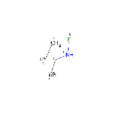 CC(C)C.CCCCNF